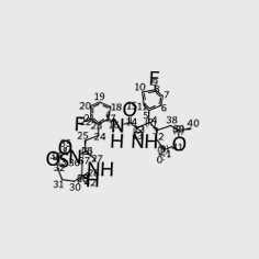 C[C@@H]1CC([C@H](c2ccc(F)cc2)[C@H](N)C(=O)Nc2cccc(F)c2CC[C@H]2CN[C@@H]3CCCS(=O)(=O)N2C3)C[C@@H](C)O1